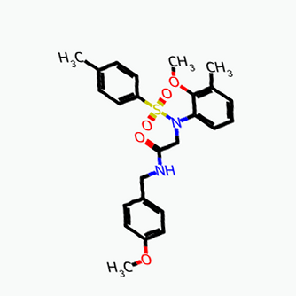 COc1ccc(CNC(=O)CN(c2cccc(C)c2OC)S(=O)(=O)c2ccc(C)cc2)cc1